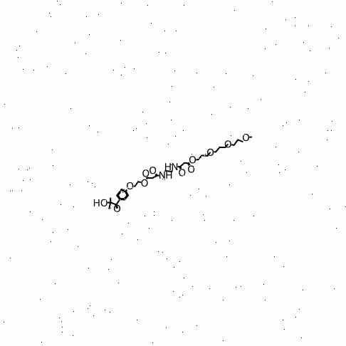 COCCCOCCCOCCCOC(=O)CC(=O)NCCNC(=O)CC(=O)OCCOc1ccc(C(=O)C(C)(C)O)cc1